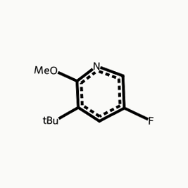 COc1ncc(F)cc1C(C)(C)C